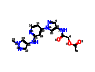 CC(=O)OCC(=O)Nc1cnn(-c2ccnc(Nc3cnn(C)c3)c2)c1